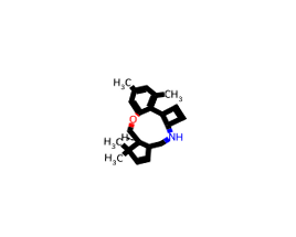 Cc1cc(C)c2c(c1)OC[C@H]1C(C=CC1(C)C)CNC1C=CC21